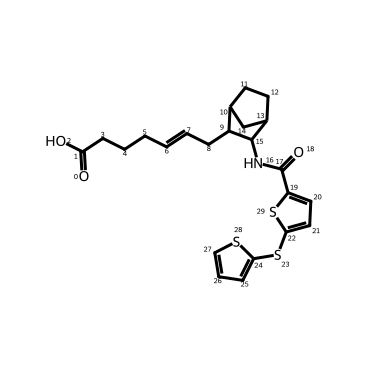 O=C(O)CCC/C=C/CC1C2CCC(C2)C1NC(=O)c1ccc(Sc2cccs2)s1